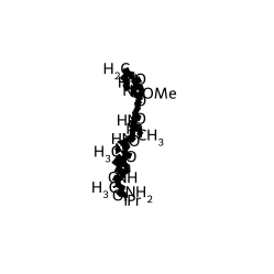 C=C1C[C@H]2C=Nc3cc(OCCCC(=O)Nc4cn(C)c(C(=O)Nc5cc(C(=O)n6ccc7cc(NC(=O)[C@H](C)CC(=O)[C@@H](N)C(C)C)ccc76)n(C)c5)n4)c(OC)cc3C(=O)N2C1